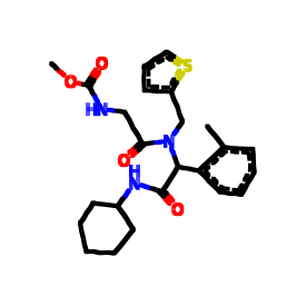 COC(=O)NCC(=O)N(Cc1cccs1)C(C(=O)NC1CCCCC1)c1ccccc1C